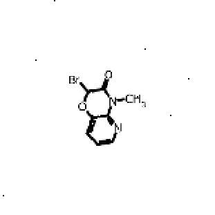 CN1C(=O)C(Br)Oc2cccnc21